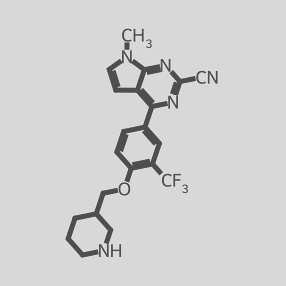 Cn1ccc2c(-c3ccc(OCC4CCCNC4)c(C(F)(F)F)c3)nc(C#N)nc21